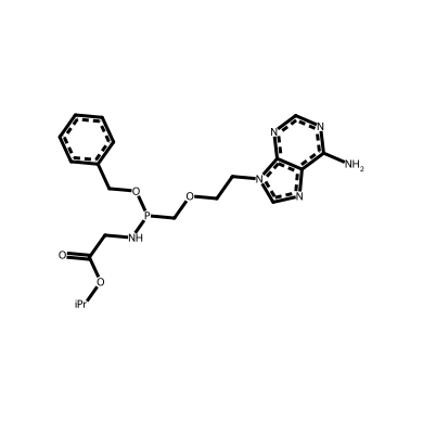 CC(C)OC(=O)CNP(COCCn1cnc2c(N)ncnc21)OCc1ccccc1